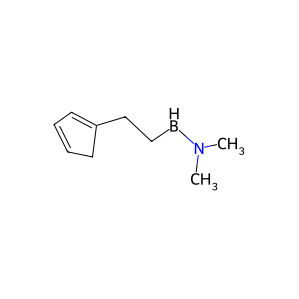 CN(C)BCCC1=CC=CC1